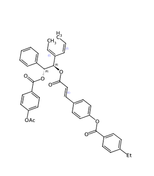 C/C=C\C(=C/C)[C@@H](OC(=O)/C=C/c1ccc(OC(=O)c2ccc(CC)cc2)cc1)[C@H](OC(=O)c1ccc(OC(C)=O)cc1)c1ccccc1